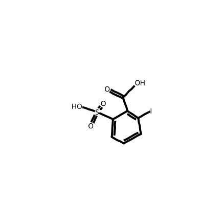 O=C(O)c1c(I)cccc1S(=O)(=O)O